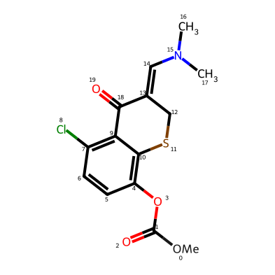 COC(=O)Oc1ccc(Cl)c2c1SCC(=CN(C)C)C2=O